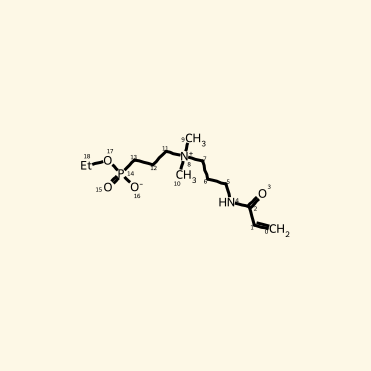 C=CC(=O)NCCC[N+](C)(C)CCCP(=O)([O-])OCC